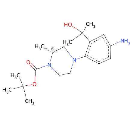 C[C@@H]1CN(c2ccc(N)cc2C(C)(C)O)CCN1C(=O)OC(C)(C)C